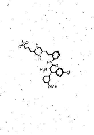 COC1CCCC([C@H](c2ccc(Cl)cc2)[C@H](N)C(=O)Nc2ccccc2CC[C@H]2CNC(CCCS(C)(=O)=O)CN2)C1